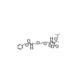 COC(=O)[C@H](NC(=O)COCCOCCNC(=O)OCc1ccccc1)C(C)OCC(C)C